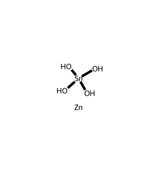 [OH][Sn]([OH])([OH])[OH].[Zn]